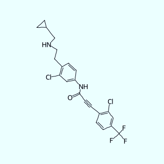 O=C(C#Cc1ccc(C(F)(F)F)cc1Cl)Nc1ccc(CCNCC2CC2)c(Cl)c1